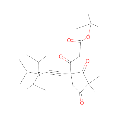 CC(C)[Si](C#C[C@@]1(C(=O)CC(=O)OC(C)(C)C)CC(=O)C(C)(C)C1=O)(C(C)C)C(C)C